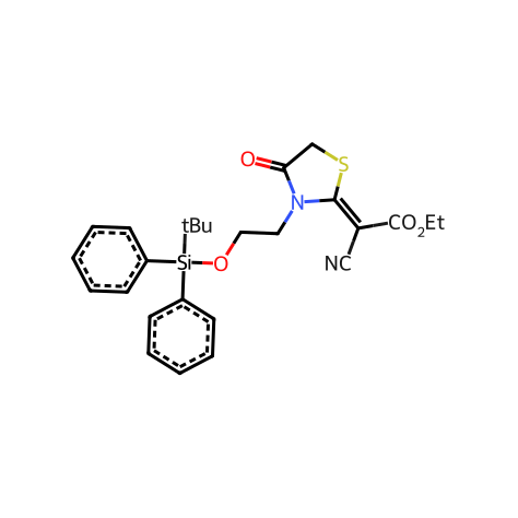 CCOC(=O)/C(C#N)=C1\SCC(=O)N1CCO[Si](c1ccccc1)(c1ccccc1)C(C)(C)C